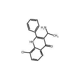 CC(N)c1c(-c2ccccc2)[nH]c2c(Cl)cccc2c1=O